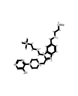 CCc1cncnc1N1CCN(Cc2nc3ccc(COCCOC)cc3n2COCC[Si](C)(C)C)CC1